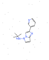 CC(C)(C)Nn1ccc2nc(-c3cccnc3)cn21